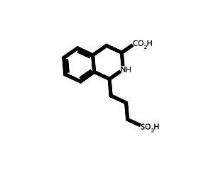 O=C(O)C1Cc2ccccc2C(CCCS(=O)(=O)O)N1